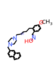 COc1ccc(/C=N/O)c(CC/C=C/CN2CCN(Cc3ccc4ccccc4c3)CC2)c1